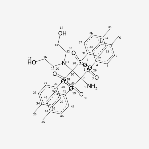 Cc1ccc(S(=O)(=O)C(N)(C(N(CCO)CCO)(S(=O)(=O)c2ccc(C)cc2)S(=O)(=O)c2ccc(C)cc2)S(=O)(=O)c2ccc(C)cc2)cc1